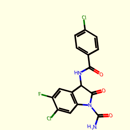 NC(=O)N1C(=O)C(NC(=O)c2ccc(Cl)cc2)c2cc(F)c(Cl)cc21